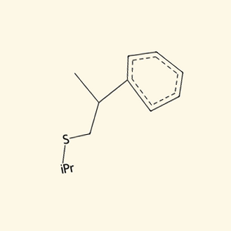 CC(C)SCC(C)c1ccccc1